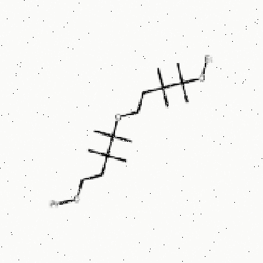 CCOC(C)(C)C(C)(C)CCOC(C)(C)C(C)(C)CCOC(C)C